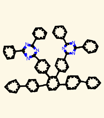 c1ccc(-c2ccc(-c3ccc(-c4ccc(-c5ccccc5)cc4)c(-c4ccc(-c5nc(-c6ccccc6)nc(-c6ccccc6)n5)cc4)c3-c3ccc(-c4nc(-c5ccccc5)nc(-c5ccccc5)n4)cc3)cc2)cc1